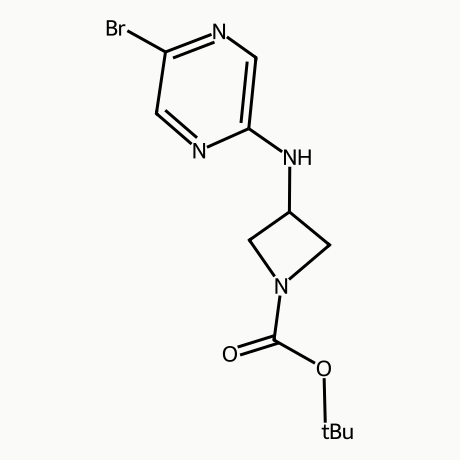 CC(C)(C)OC(=O)N1CC(Nc2cnc(Br)cn2)C1